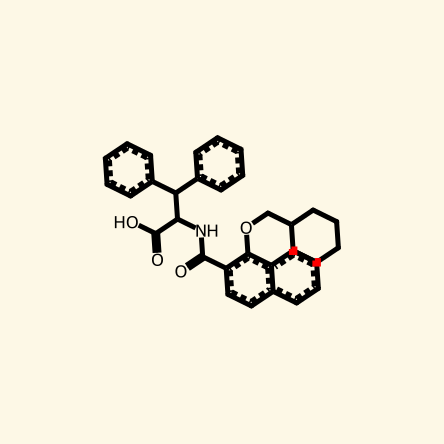 O=C(NC(C(=O)O)C(c1ccccc1)c1ccccc1)c1ccc2ccccc2c1OCC1CCCCC1